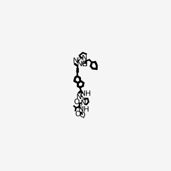 COC(=O)N[C@H](C(=O)N1CCC[C@H]1c1ncc(-c2ccc3cc(C#Cc4cnc([C@@H]5CCCN5C(=O)Cc5ccccc5)[nH]4)ccc3c2)[nH]1)C(C)C